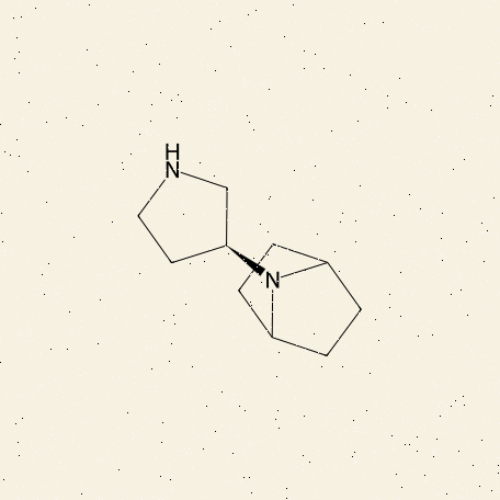 C1C[C@H](N2C3CCC2CC3)CN1